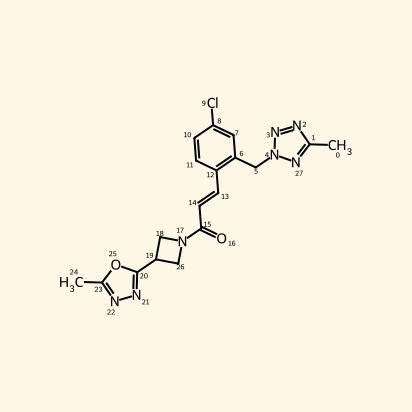 Cc1nnn(Cc2cc(Cl)ccc2C=CC(=O)N2CC(c3nnc(C)o3)C2)n1